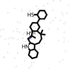 C/C1=C\C2NC3CCCCC3C2CCC(C)(C)C2CC(C3CCCCC3S)CC[C@H]12